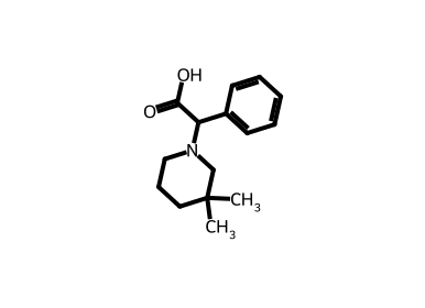 CC1(C)CCCN(C(C(=O)O)c2ccccc2)C1